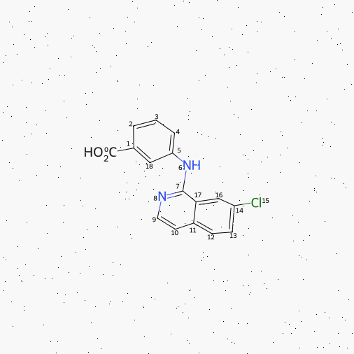 O=C(O)c1cccc(Nc2nccc3ccc(Cl)cc23)c1